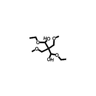 CCOC(O)C(COC)(COC)C(O)OCC